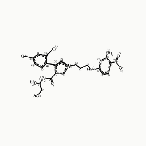 CC(CO)NC(=O)c1cn(CCCNc2ccc([N+](=O)[O-])c(N)n2)cc1-c1ccc(Cl)cc1Cl